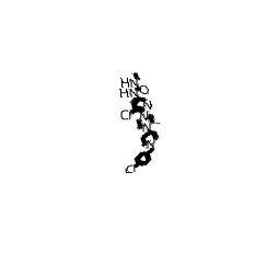 CCNC(=O)Nc1cnc(N2CCN(C3CCN(Cc4ccc(Cl)cc4)CC3)[C@@H](C)C2)c(Cl)c1